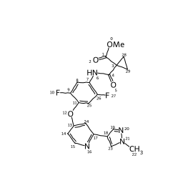 COC(=O)C1(C(=O)Nc2cc(F)c(Oc3ccnc(-c4cnn(C)c4)c3)cc2F)CC1